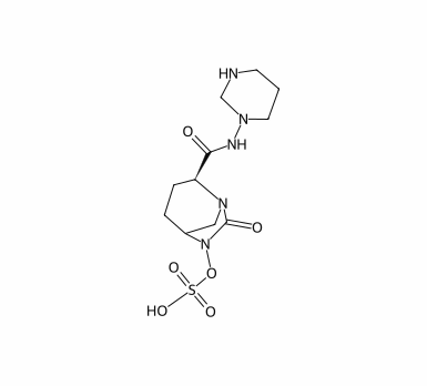 O=C(NN1CCCNC1)[C@@H]1CCC2CN1C(=O)N2OS(=O)(=O)O